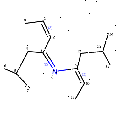 C\C=C/C(CC(C)C)=N\C(=C/C)CC(C)C